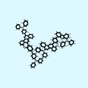 c1ccc(N(c2ccccc2)c2ccc(-c3cc4c5cccc6c5c(cc4c4ccccc34)-c3ccc(-c4ccc(N(c5ccccc5)c5cccc(-c7cccc(N(c8ccccc8)c8cc9c%10cccc%11c%10c(cc9c9ccccc89)-c8ccc(-c9cccc%10c9oc9c(N(c%12ccccc%12)c%12ccccc%12)cccc9%10)cc8O%11)c7)c5)cc4)cc3O6)cc2)cc1